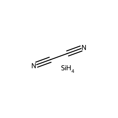 N#CC#N.[SiH4]